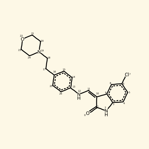 O=C1Nc2ccc(Cl)cc2C1=CNc1ccc(CCN2CCOCC2)cc1